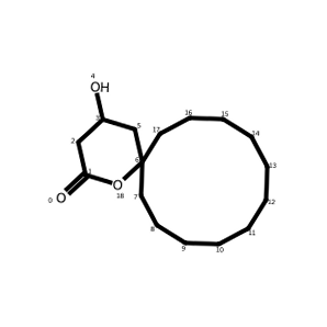 O=C1CC(O)CC2(CCCCCCCCCCC2)O1